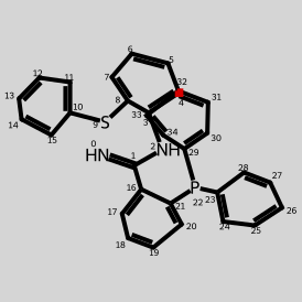 N=C(Nc1ccccc1Sc1ccccc1)c1ccccc1P(c1ccccc1)c1ccccc1